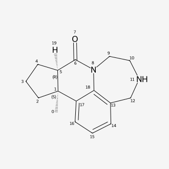 C[C@]12CCC[C@H]1C(=O)N1CCNCc3cccc2c31